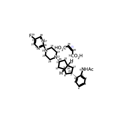 CC(=O)Nc1ccccc1[C@@H]1C[C@@H]2C[C@H](N3CCN(c4ncc(F)cn4)CC3)C[C@@H]2C1.O=C(O)/C=C\C(=O)O